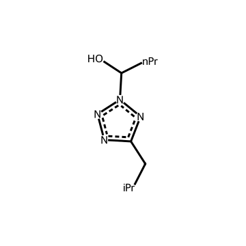 CCCC(O)n1nnc(CC(C)C)n1